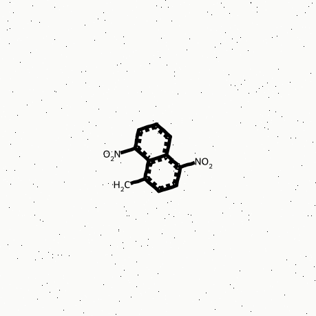 [CH2]c1ccc([N+](=O)[O-])c2cccc([N+](=O)[O-])c12